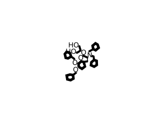 O=C(OC(CO)CO)[C@H](Cc1ccc(OCc2ccccc2)c(OCc2ccccc2)c1)N(Cc1ccccc1)Cc1ccccc1